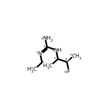 CC/N=C(/N)NC(C)[C@@H](C)F